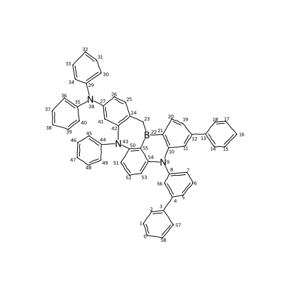 c1ccc(-c2cccc(N3c4cc(-c5ccccc5)ccc4B4Cc5ccc(N(c6ccccc6)c6ccccc6)cc5N(c5ccccc5)c5cccc3c54)c2)cc1